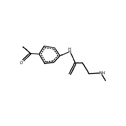 C=C(CCNC)Nc1ccc(C(C)=O)cc1